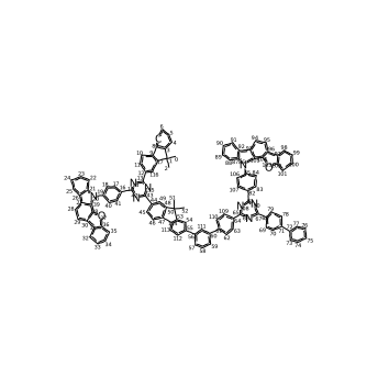 CC1(C)c2ccccc2-c2ccc(-c3nc(-c4ccc(-n5c6ccccc6c6ccc7c8ccccc8oc7c65)cc4)nc(-c4ccc5c(c4)C(C)(C)c4cc(-c6cccc(-c7ccc(-c8nc(-c9ccc(-c%10ccccc%10)cc9)nc(-c9ccc(-n%10c%11ccccc%11c%11ccc%12c%13ccccc%13oc%12c%11%10)cc9)n8)cc7)c6)ccc4-5)n3)cc21